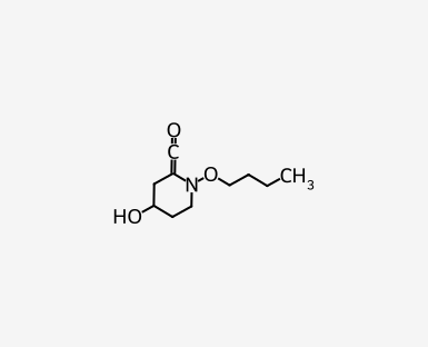 CCCCON1CCC(O)CC1=C=O